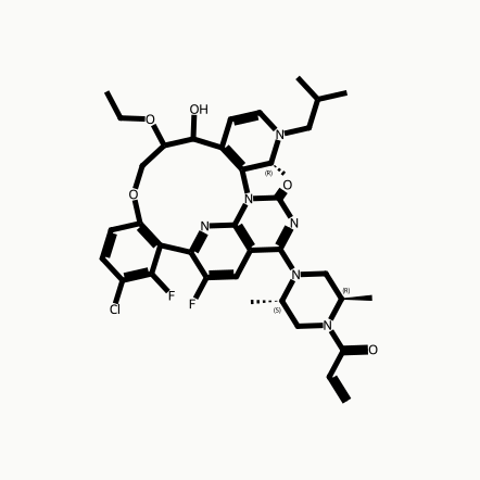 C=CC(=O)N1C[C@H](C)N(c2nc(=O)n3c4nc(c(F)cc24)-c2c(ccc(Cl)c2F)OCC(OCC)C(O)C2=C3[C@@H](C)N(CC(C)C)C=C2)C[C@H]1C